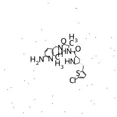 Cc1nc(N)ccc1CNC(=O)[C@H](C)NC(=O)[C@H]1C[C@H](Cc2ccc(Cl)s2)CN1